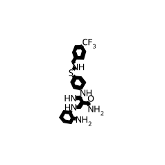 N=C(Nc1ccc(SNCc2ccc(C(F)(F)F)cc2)cc1)/C(=C\NC1CCCCC1N)C(N)=O